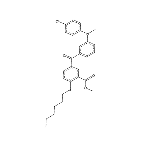 CCCCCCSc1ccc(C(=O)c2cccc(N(C)c3ccc(Cl)cc3)c2)cc1C(=O)OC